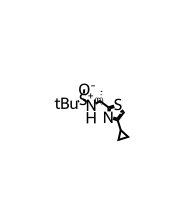 C[C@@H](N[S+]([O-])C(C)(C)C)c1nc(C2CC2)cs1